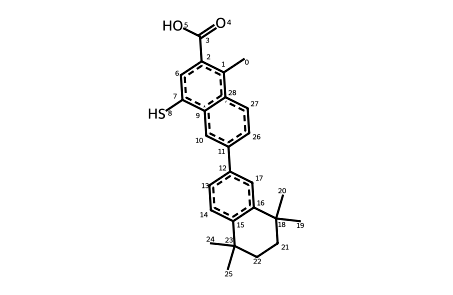 Cc1c(C(=O)O)cc(S)c2cc(-c3ccc4c(c3)C(C)(C)CCC4(C)C)ccc12